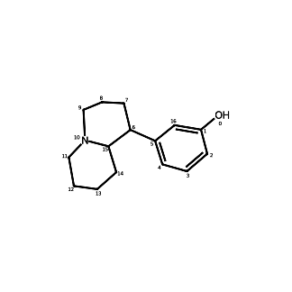 Oc1cccc(C2CCCN3CCCCC23)c1